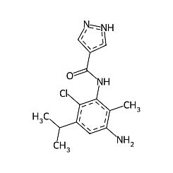 Cc1c(N)cc(C(C)C)c(Cl)c1NC(=O)c1cn[nH]c1